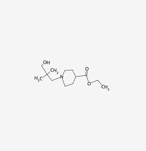 CCOC(=O)C1CCN(CC(C)(C)CO)CC1